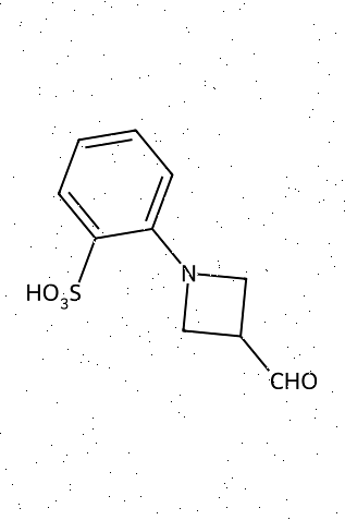 O=CC1CN(c2ccccc2S(=O)(=O)O)C1